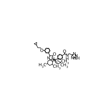 CC1CC(C)CC2(C1)N=C(c1cccc(OCCC3CC3)c1)C(=O)N2[C@H](CCC(C)(C)C)c1ccc(C(=O)NCc2nn[nH]n2)cc1